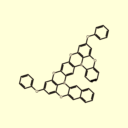 c1ccc(Oc2cc3c4c(c2)Oc2cc5ccccc5cc2B4c2cc4c(cc2O3)Oc2cc(Oc3ccccc3)cc3c2B4c2cc4ccccc4cc2O3)cc1